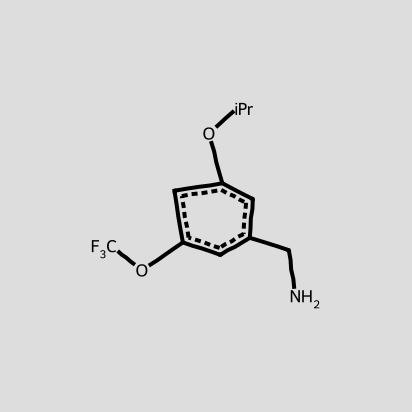 CC(C)Oc1cc(CN)cc(OC(F)(F)F)c1